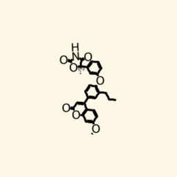 CCCc1cc(-c2cc(=O)oc3cc(OC)ccc23)ccc1Oc1cccc([C@@]2(C)OC(=O)NC2=O)c1